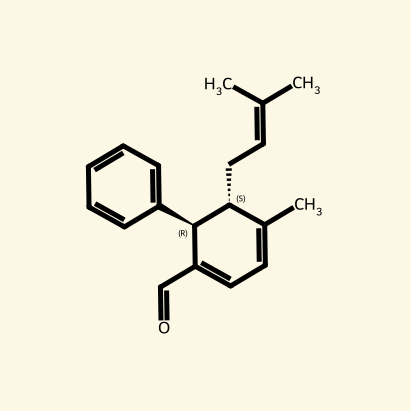 CC(C)=CC[C@@H]1C(C)=CC=C(C=O)[C@H]1c1ccccc1